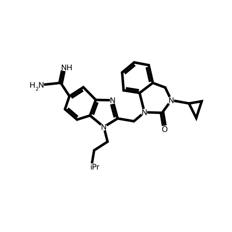 CC(C)CCn1c(CN2C(=O)N(C3CC3)Cc3ccccc32)nc2cc(C(=N)N)ccc21